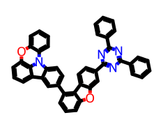 c1ccc(-c2nc(-c3ccccc3)nc(-c3ccc4c(c3)oc3cccc(-c5ccc6c(c5)c5cccc7c5n6-c5ccccc5O7)c34)n2)cc1